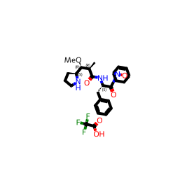 CO[C@@H]([C@@H]1CCCN1)[C@@H](C)C(=O)N[C@@H](Cc1ccccc1)C(=O)N1OC2C=CC1CC2.O=C(O)C(F)(F)F